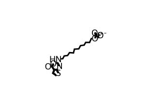 O=c1oc(NCCCCCCCCCCCCO[N+](=O)[O-])nc2sccc12